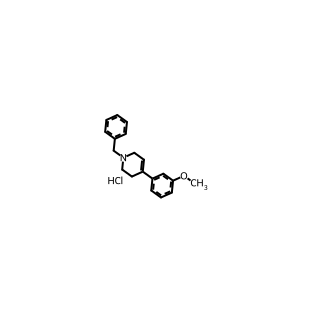 COc1cccc(C2=CCN(Cc3ccccc3)CC2)c1.Cl